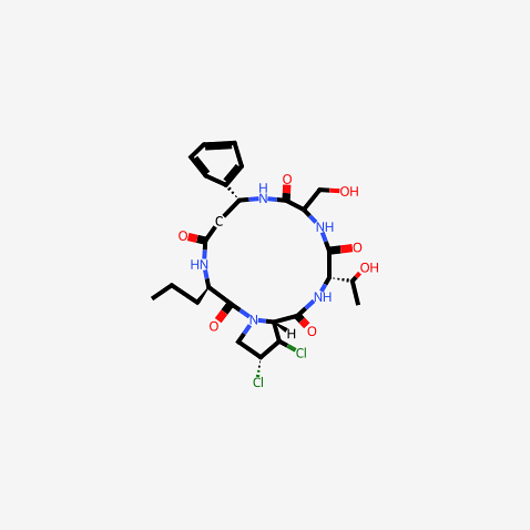 CCC[C@H]1NC(=O)C[C@H](c2ccccc2)NC(=O)C(CO)NC(=O)[C@H](C(C)O)NC(=O)[C@@H]2C(Cl)[C@H](Cl)CN2C1=O